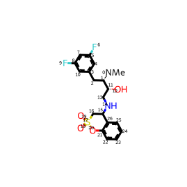 CN[C@@H](Cc1cc(F)cc(F)c1)[C@H](O)CNC1CS(=O)(=O)Oc2ccccc21